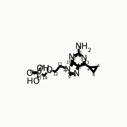 Nc1nc(C2CC2)c2ncn(CCOCP(=O)(O)O)c2n1